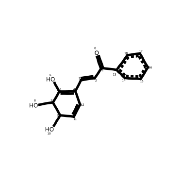 O=C(C=CC1=C(O)C(O)C(O)C=C1)c1ccccc1